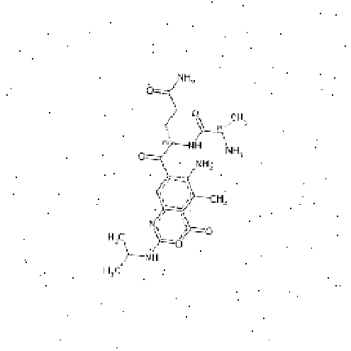 Cc1c(N)c(C(=O)[C@H](CCC(N)=O)NC(=O)[C@H](C)N)cc2nc(NC(C)C)oc(=O)c12